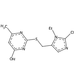 CCn1c(CSc2nc(C)cc(O)n2)cnc1Cl